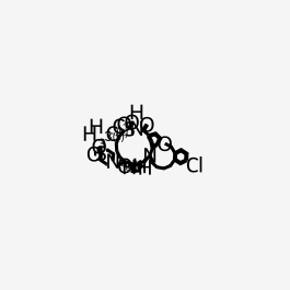 C[C@@H]1[C@@H](C)CCC[C@@](O)(CN2CCS(=O)(=O)CC2)[C@@H]2CC[C@H]2CN2CCCCc3cc(Cl)ccc3COc3ccc(cc32)C(=O)NS1(=O)=O